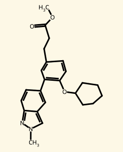 COC(=O)CCc1ccc(OC2CCCCC2)c(-c2ccc3nn(C)cc3c2)c1